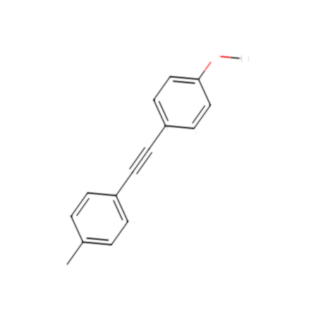 CCOc1ccc(C#Cc2ccc(C)cc2)cc1